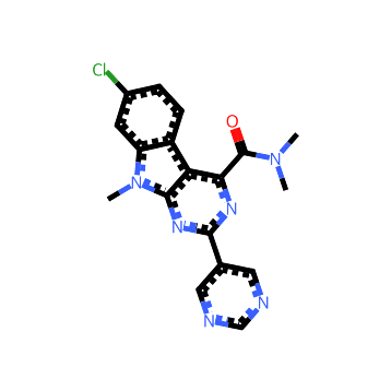 CN(C)C(=O)c1nc(-c2cncnc2)nc2c1c1ccc(Cl)cc1n2C